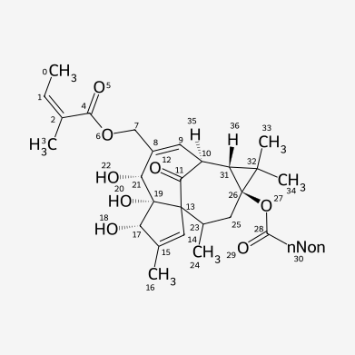 C/C=C(/C)C(=O)OCC1=C[C@@H]2C(=O)C3(C=C(C)[C@H](O)[C@@]3(O)[C@@H]1O)C(C)C[C@]1(OC(=O)CCCCCCCCC)[C@H]2C1(C)C